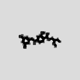 CCC(COC(=O)c1ccc(NSc2cc(Cl)cc(Cl)c2)cc1O)OC